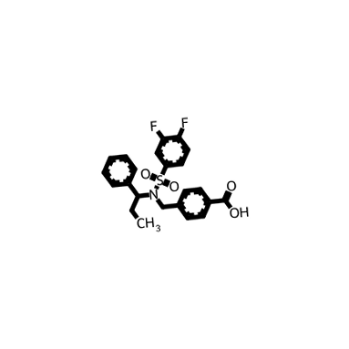 CCC(c1ccccc1)N(Cc1ccc(C(=O)O)cc1)S(=O)(=O)c1ccc(F)c(F)c1